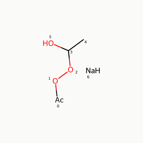 CC(=O)OOC(C)O.[NaH]